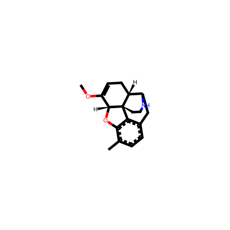 COC1=CC[C@@H]2C3Cc4ccc(C)c5c4[C@]2(CCN3)[C@@H]1O5